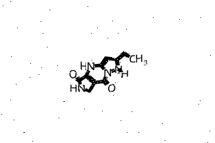 [2H]N1C(CC)C=C2NC3=C(CNC3=O)C(=O)N21